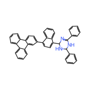 c1ccc(C2=NC(c3ccc(-c4ccc5c6ccccc6c6ccccc6c5c4)c4ccccc34)NC(c3ccccc3)N2)cc1